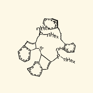 CCCCCCP(CCCCCC)C1=Cc2ccccc2[CH]1[Zr][CH]1C(P(CCCCCC)CCCCCC)=Cc2ccccc21.c1ccc(CCc2ccccc2)cc1